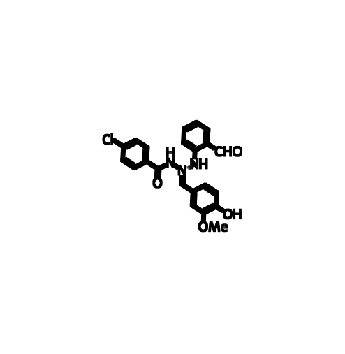 COc1cc(C=[N+](NC(=O)c2ccc(Cl)cc2)Nc2ccccc2C=O)ccc1O